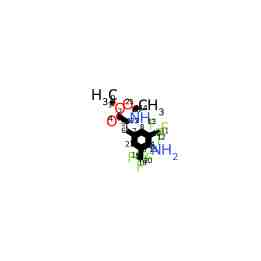 CCOC(=O)[C@@H](Cc1cc(C(F)(F)F)c(N)c(C(F)(F)F)c1)NC(C)=O